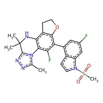 Cc1nnc2n1-c1c(F)c(-c3cc(F)cc4c3ccn4S(C)(=O)=O)c3c(c1NC2(C)C)CCO3